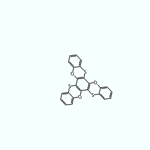 c1ccc2sc3c4oc5ccccc5sc4c4oc5ccccc5sc4c3oc2c1